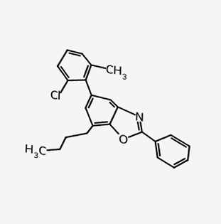 CCCCc1cc(-c2c(C)cccc2Cl)cc2nc(-c3ccccc3)oc12